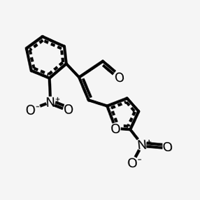 O=CC(=Cc1ccc([N+](=O)[O-])o1)c1ccccc1[N+](=O)[O-]